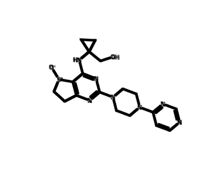 [O-][S+]1CCc2nc(N3CCN(c4ccncn4)CC3)nc(NC3(CO)CC3)c21